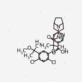 COC(C)(C)c1cc(OC(C)(C)C(=O)NC2CC3CCC(C2)N3c2ccc(C(=O)O)cn2)c(Cl)cc1Cl